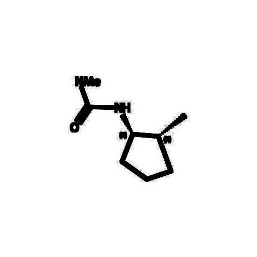 CNC(=O)N[C@H]1CCC[C@H]1C